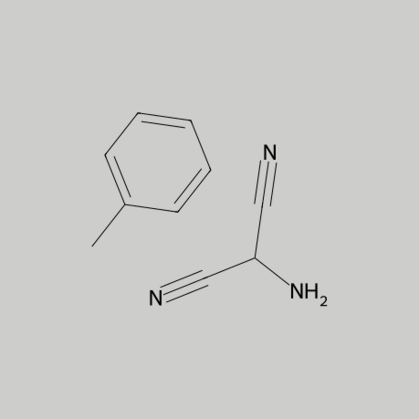 Cc1ccccc1.N#CC(N)C#N